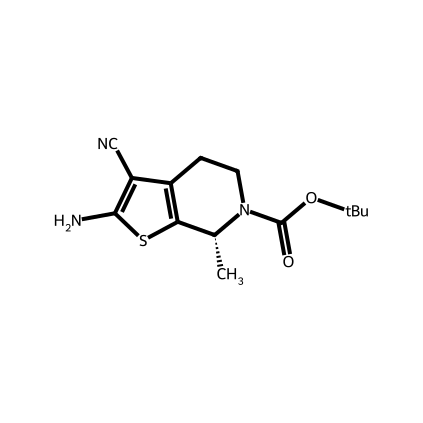 C[C@@H]1c2sc(N)c(C#N)c2CCN1C(=O)OC(C)(C)C